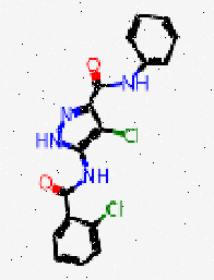 O=C(Nc1[nH]nc(C(=O)Nc2ccccc2)c1Cl)c1ccccc1Cl